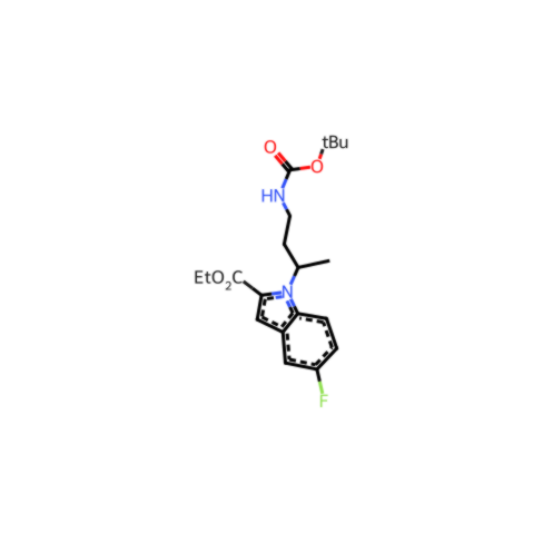 CCOC(=O)c1cc2cc(F)ccc2n1C(C)CCNC(=O)OC(C)(C)C